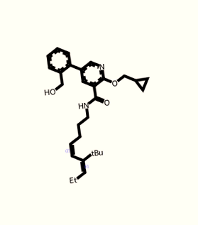 CC/C=C(\C=C/CCCNC(=O)c1cc(-c2ccccc2CO)cnc1OCC1CC1)C(C)(C)C